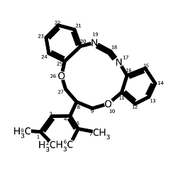 CC(C)=CC(=C(C)C)C1COc2ccccc2N=C=Nc2ccccc2OC1